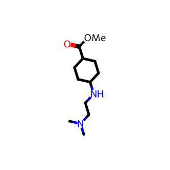 COC(=O)C1CCC(NCCN(C)C)CC1